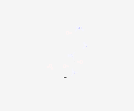 C[C@@H]1CC[C@@H](c2ccc3ccoc3c2)N(C(=O)C(=O)Nc2cncc(C(N)=O)c2)C1